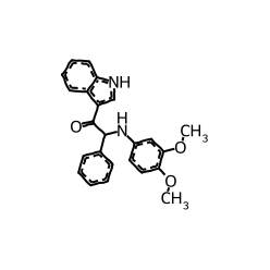 COc1ccc(NC(C(=O)c2c[nH]c3ccccc23)c2ccccc2)cc1OC